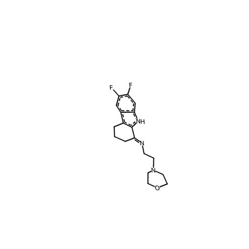 Fc1cc2[nH]c3c(c2cc1F)CCC/C3=N\CCN1CCOCC1